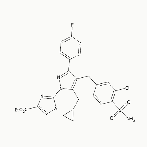 CCOC(=O)c1csc(-n2nc(-c3ccc(F)cc3)c(Cc3ccc(S(N)(=O)=O)c(Cl)c3)c2CC2CC2)n1